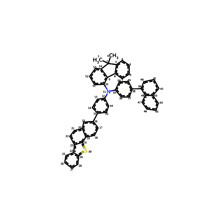 CC1(C)c2ccccc2-c2c(N(c3ccc(-c4ccc5c(ccc6c7ccccc7sc56)c4)cc3)c3ccc(-c4cccc5ccccc45)cc3)cccc21